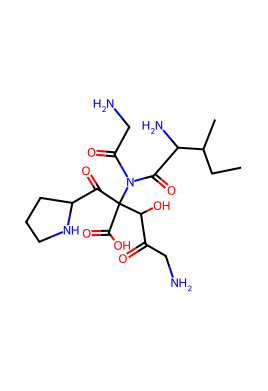 CCC(C)C(N)C(=O)N(C(=O)CN)C(C(=O)O)(C(=O)C1CCCN1)C(O)C(=O)CN